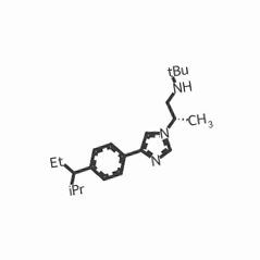 CCC(c1ccc(-c2cn([C@@H](C)CNC(C)(C)C)cn2)cc1)C(C)C